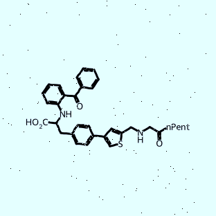 CCCCCC(=O)CNCc1cc(-c2ccc(CC(Nc3ccccc3C(=O)c3ccccc3)C(=O)O)cc2)cs1